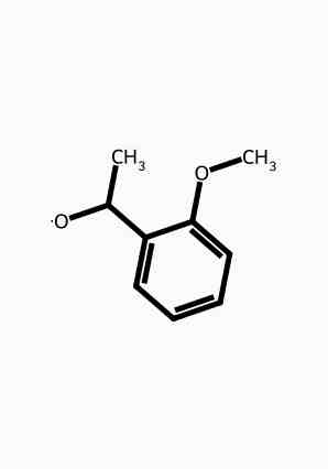 COc1ccccc1C(C)[O]